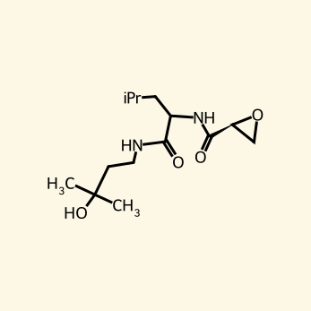 CC(C)CC(NC(=O)[C@@H]1CO1)C(=O)NCCC(C)(C)O